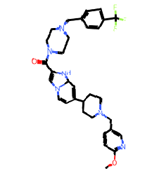 COc1ccc(CN2CCC(C3=CC4NC(C(=O)N5CCN(Cc6ccc(C(F)(F)F)cc6)CC5)=CN4C=C3)CC2)cn1